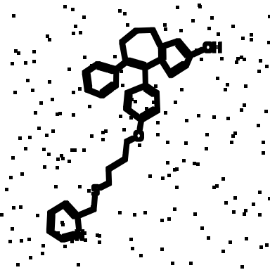 Oc1ccc2c(c1)CCCC(c1ccccc1)=C2c1ccc(OCCCCSCc2ccccn2)cc1